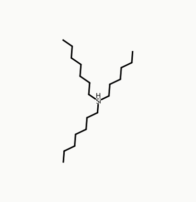 CCCCCCC[SiH](CCCCCC)CCCCCCC